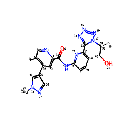 Cc1cnc(C(=O)Nc2cccc(-c3nnnn3[C@H](C)CO)n2)cc1-c1cnn(C(C)(C)C)c1